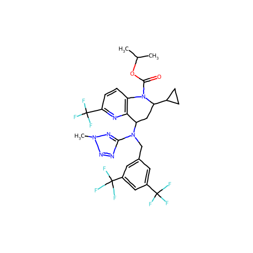 CC(C)OC(=O)N1c2ccc(C(F)(F)F)nc2C(N(Cc2cc(C(F)(F)F)cc(C(F)(F)F)c2)c2nnn(C)n2)CC1C1CC1